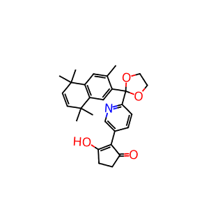 Cc1cc2c(cc1C1(c3ccc(C4=C(O)CCC4=O)cn3)OCCO1)C(C)(C)C=CC2(C)C